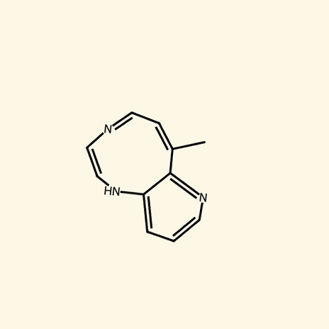 Cc1ccncc[nH]c2cccnc12